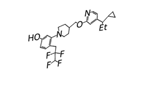 CCC(c1ccnc(OCC2CCN(c3cc(O)ccc3CC(F)(F)C(F)F)CC2)c1)C1CC1